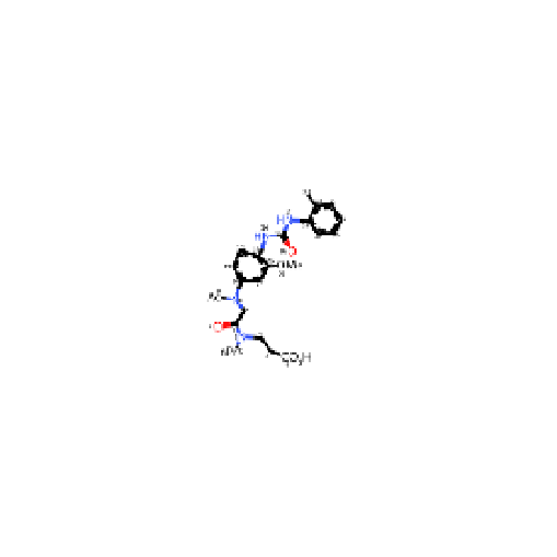 CCCN(CCC(=O)O)C(=O)CN(C(C)=O)c1ccc(NC(=O)Nc2ccccc2C)c(OC)c1